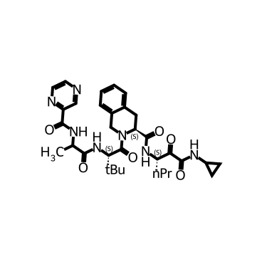 CCC[C@H](NC(=O)[C@@H]1Cc2ccccc2CN1C(=O)[C@@H](NC(=O)C(C)NC(=O)c1cnccn1)C(C)(C)C)C(=O)C(=O)NC1CC1